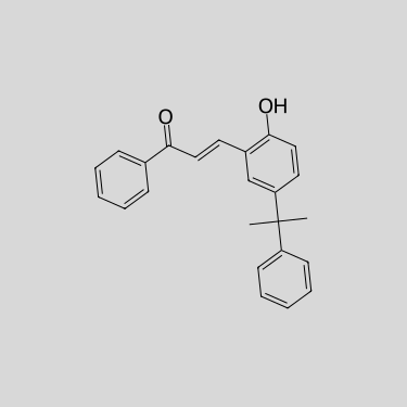 CC(C)(c1ccccc1)c1ccc(O)c(C=CC(=O)c2ccccc2)c1